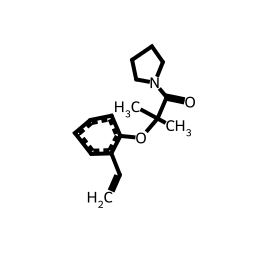 C=Cc1ccccc1OC(C)(C)C(=O)N1CCCC1